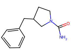 NC(=O)N1CCC(Cc2ccccc2)C1